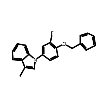 Cc1cn(-c2ccc(OCc3ccccc3)c(F)c2)c2ccccc12